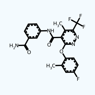 Cc1cc(F)ccc1Oc1nnc(C(F)(F)F)c(C)c1C(=O)Nc1cccc(C(N)=O)c1